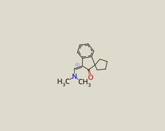 CN(C)/C=C1\C(=O)C2(CCCC2)c2ccccc21